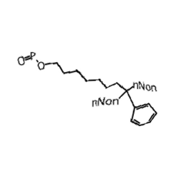 CCCCCCCCCC(CCCCCCCCC)(CCCCCCCOP=O)c1ccccc1